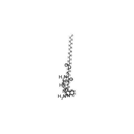 CCCCCCCCCCCCCCCC(=O)OCCSCC(N)C(=O)NCCCn1c(CNCC)nc2c(N)nc3ccccc3c21